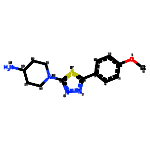 CCOc1ccc(-c2nnc(N3CCC(N)CC3)s2)cc1